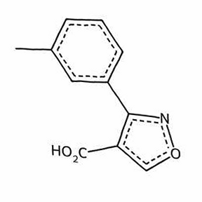 Cc1cccc(-c2nocc2C(=O)O)c1